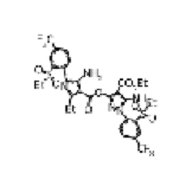 CCOC(=O)c1c(OC(=O)c2c(CC)nn(-c3ccc(C(F)(F)F)cc3S(=O)(=O)CC)c2N)nn(-c2ccc(C(F)(F)F)cc2S(=O)(=O)CC)c1N